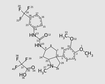 COc1ccc(C23CCC(NC(=O)Nc4cccc(C(F)(F)F)c4)CC2N(C)CC3)cc1OC.O=C(O)C(F)(F)F